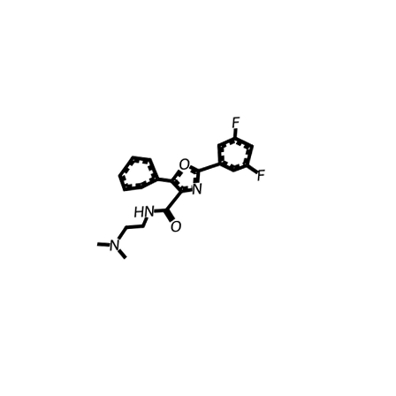 CN(C)CCNC(=O)c1nc(-c2cc(F)cc(F)c2)oc1-c1ccccc1